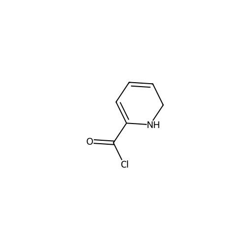 O=C(Cl)C1=CC=CCN1